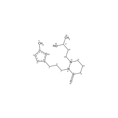 Cc1ccc(CCCN2C(=O)CCCN2CCC(C)O)o1